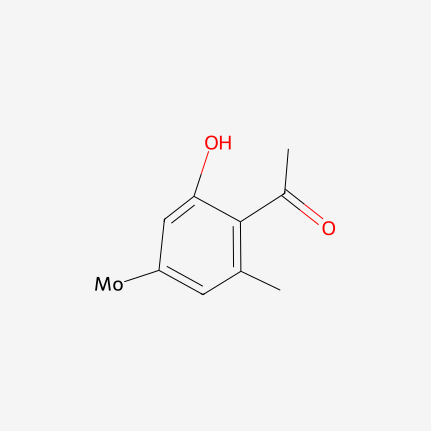 CC(=O)c1c(C)c[c]([Mo])cc1O